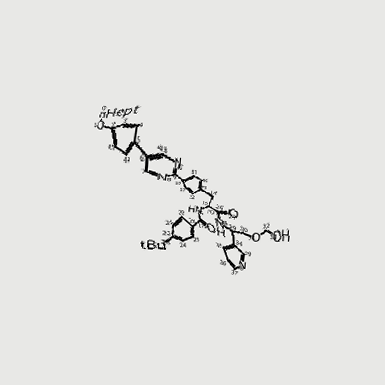 CCCCCCCOc1ccc(-c2cnc(-c3ccc(C[C@H](NC(=O)c4ccc(C(C)(C)C)cc4)C(=O)NC(COCO)c4cccnc4)cc3)nc2)cc1